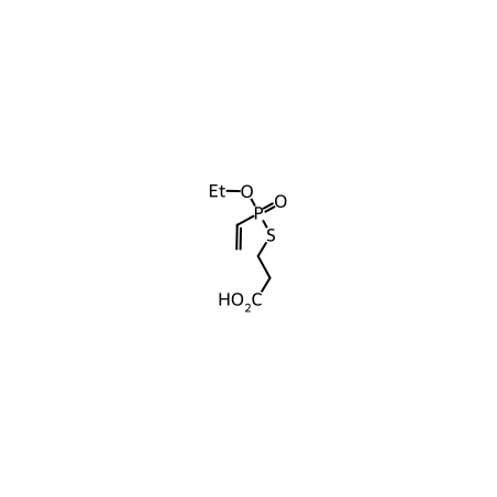 C=CP(=O)(OCC)SCCC(=O)O